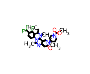 C=C[C@H](c1cccc(C(F)F)c1F)N(C)c1nc(C)nc2cc(=O)n(C3(C)CCN(C(=O)OC)CC3)cc12